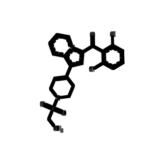 CCS(=O)(=O)N1CC=C(c2cc(C(=O)c3c(Cl)cccc3Cl)n3ccccc23)CC1